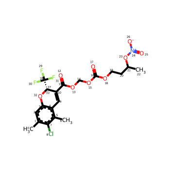 Cc1cc2c(c(C)c1Cl)C=C(C(=O)OCOC(=O)OCCC(C)O[N+](=O)[O-])[C@@H](C(F)(F)F)O2